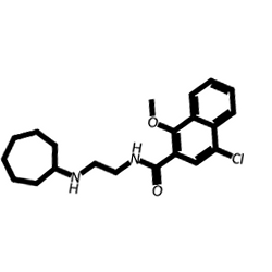 COc1c(C(=O)NCCNC2CCCCCC2)cc(Cl)c2ccccc12